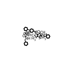 CSc1nc(C)n(Cc2ccc(-c3ccccc3S(=O)(=O)NC(=O)NCc3ccccc3)cc2)c1C(C)(O)C(=O)NCc1ccccc1